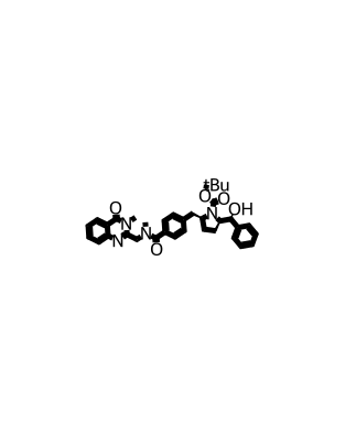 CN(Cc1nc2ccccc2c(=O)n1C)C(=O)c1ccc(C[C@@H]2CC[C@H]([C@H](O)c3ccccc3)N2C(=O)OC(C)(C)C)cc1